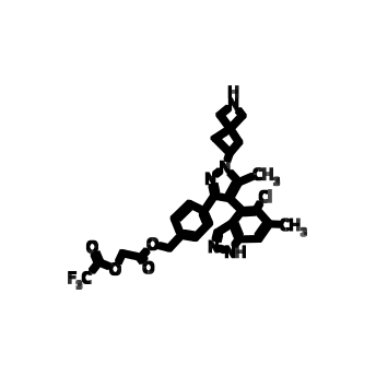 Cc1cc2[nH]ncc2c(-c2c(-c3ccc(COC(=O)COC(=O)C(F)(F)F)cc3)nn(C3CC4(CNC4)C3)c2C)c1Cl